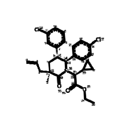 C=CC[C@@]1(C)C[C@H](c2cccc(Cl)c2)[C@@H](c2ccc(Cl)cc2)N([C@H](C(=O)OCC)C2CC2)C1=O